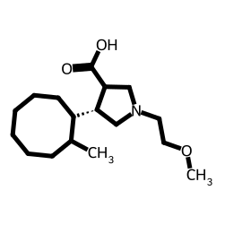 COCCN1CC(C(=O)O)[C@@H](C2CCCCCCC2C)C1